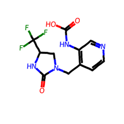 O=C(O)Nc1cnccc1CN1CC(C(F)(F)F)NC1=O